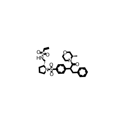 C=CS(=O)(=O)NC[C@H]1CCCN1S(=O)(=O)c1ccc(C(Cc2ccccc2)C(=O)N2CCOC[C@H]2C)cc1